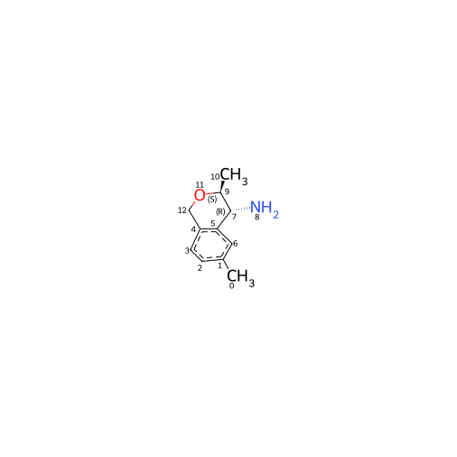 Cc1ccc2c(c1)[C@@H](N)[C@H](C)OC2